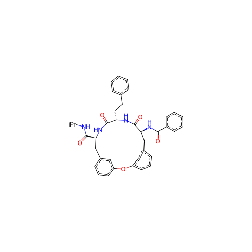 CC(C)NC(=O)[C@@H]1Cc2cccc(c2)Oc2cccc(c2)C[C@H](NC(=O)c2ccccc2)C(=O)N[C@@H](CCc2ccccc2)C(=O)N1